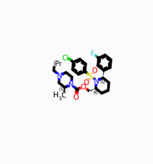 CC(C)CN1CCN(C(=O)OC[C@H]2CCC[C@@H](c3cccc(F)c3)N2S(=O)(=O)c2ccc(Cl)cc2)[C@@H](C)C1